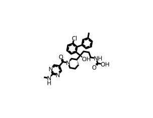 CNc1ncc(C(=O)N2CCC[C@@H]([C@@](O)(CCCNC(=O)O)c3cccc(Cl)c3-c3cccc(C)c3)C2)cn1